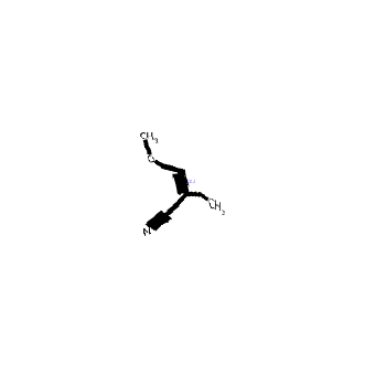 CO/C=C(/C)C#N